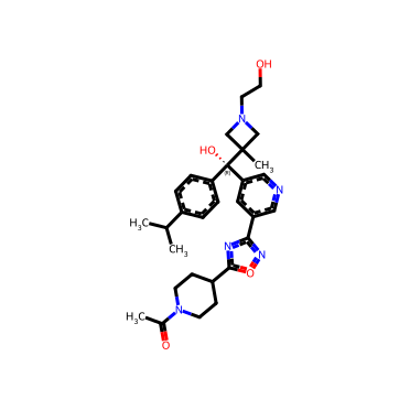 CC(=O)N1CCC(c2nc(-c3cncc([C@@](O)(c4ccc(C(C)C)cc4)C4(C)CN(CCO)C4)c3)no2)CC1